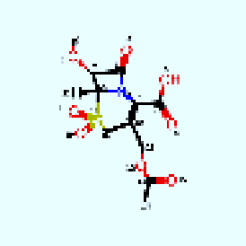 CO[C@H]1C(=O)N2C(C(=O)O)=C(COC(C)=O)CS(=O)(=O)[C@H]12